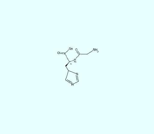 NCC(=O)N[C@@H](CC1C=NC=N1)C(=O)O